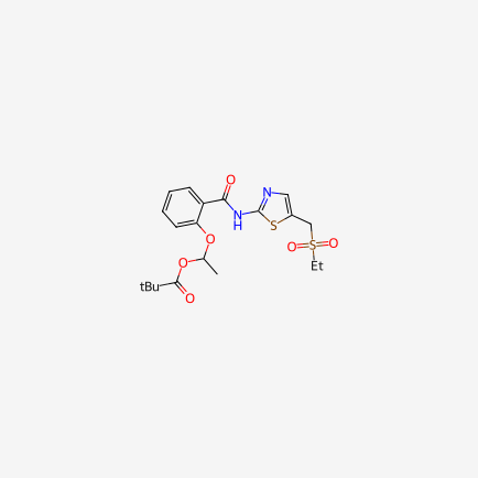 CCS(=O)(=O)Cc1cnc(NC(=O)c2ccccc2OC(C)OC(=O)C(C)(C)C)s1